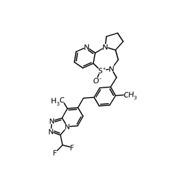 Cc1ccc(Cc2ccn3c(C(F)F)nnc3c2C)cc1CN1CC2CCCN2c2ncccc2[S+]1[O-]